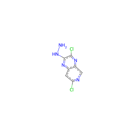 NNc1nc2cc(Cl)ncc2nc1Cl